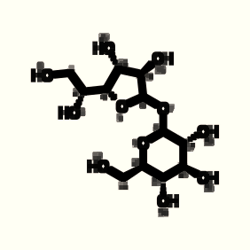 OC[C@@H](O)[C@H]1OC(OC2O[C@H](CO)[C@@H](O)[C@H](O)[C@H]2O)[C@H](O)[C@H]1O